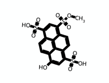 COS(=O)(=O)c1cc(S(=O)(=O)O)c2ccc3c(O)cc(S(=O)(=O)O)c4ccc1c2c34